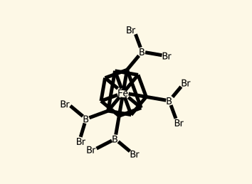 BrB(Br)[C]12[CH]3[CH]4[C]5(B(Br)Br)[CH]1[Fe]34251678[CH]2[CH]1[C]6(B(Br)Br)[CH]7[C]28B(Br)Br